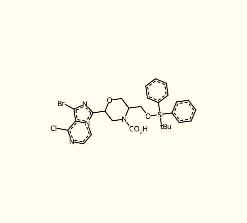 CC(C)(C)[Si](OCC1COC(c2nc(Br)c3c(Cl)nccn23)CN1C(=O)O)(c1ccccc1)c1ccccc1